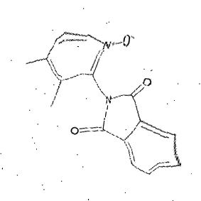 Cc1cc[n+]([O-])c(N2C(=O)c3ccccc3C2=O)c1C